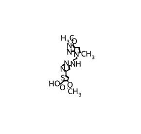 CCOc1cc(-c2cc(NCCn3c(C)cc4c(OC)ncnc43)ncn2)sc1C(=O)O